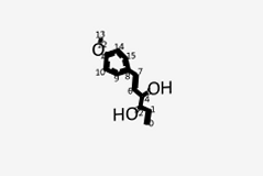 C=CC(O)C(O)C=Cc1ccc(OC)cc1